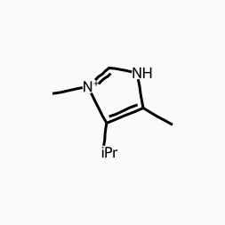 Cc1[nH]c[n+](C)c1C(C)C